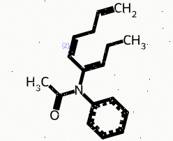 C=CC/C=C\C(=CCC)N(C(C)=O)c1ccccc1